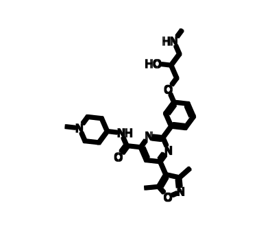 CNCC(O)COc1cccc(-c2nc(C(=O)NC3CCN(C)CC3)cc(-c3c(C)noc3C)n2)c1